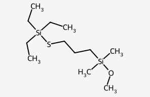 CC[Si](CC)(CC)SCCC[Si](C)(C)OC